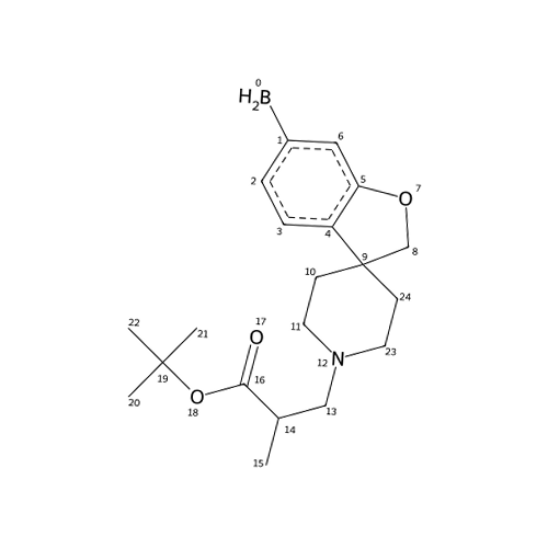 Bc1ccc2c(c1)OCC21CCN(CC(C)C(=O)OC(C)(C)C)CC1